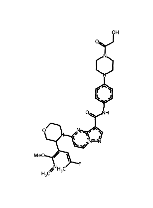 C=N/C(OC)=C(\C=C(/C)F)C1COCCN1c1ccn2ncc(C(=O)Nc3ccc(N4CCN(C(=O)CO)CC4)cc3)c2n1